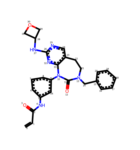 C=CC(=O)Nc1cccc(N2C(=O)N(Cc3ccccc3)CCc3cnc(NC4COC4)nc32)c1